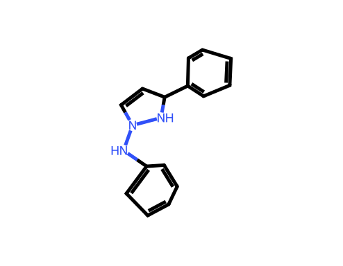 C1=CN(Nc2ccccc2)NC1c1ccccc1